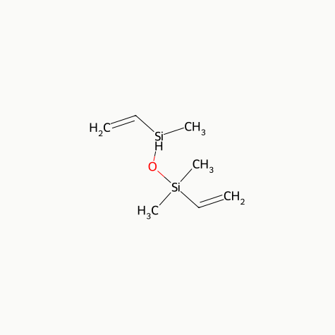 C=C[SiH](C)O[Si](C)(C)C=C